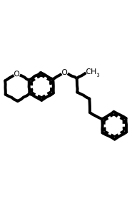 CC(CCCc1ccccc1)Oc1ccc2c(c1)OCCC2